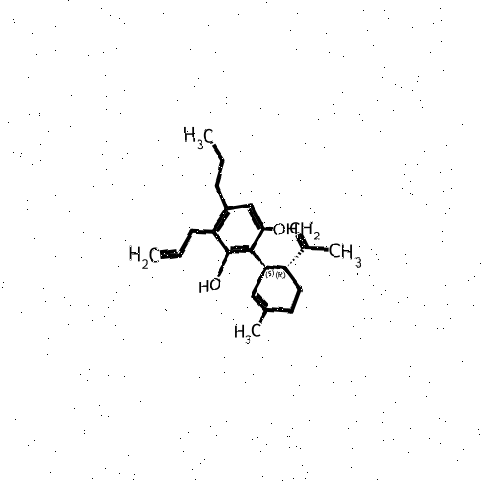 C=CCc1c(CCC)cc(O)c([C@@H]2C=C(C)CC[C@H]2C(=C)C)c1O